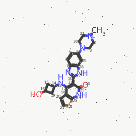 CN1CCN(c2ccc3nc(-c4c(NC5CC(O)C5)c5ccsc5[nH]c4=O)[nH]c3c2)CC1